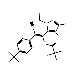 [C-]#[N+]C(=C(OC(=O)C(C)(C)C)c1c(Cl)c(C)nn1CC)c1ccc(C(C)(C)C)cc1